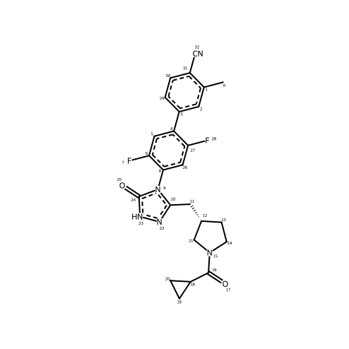 Cc1cc(-c2cc(F)c(-n3c(C[C@@H]4CCN(C(=O)C5CC5)C4)n[nH]c3=O)cc2F)ccc1C#N